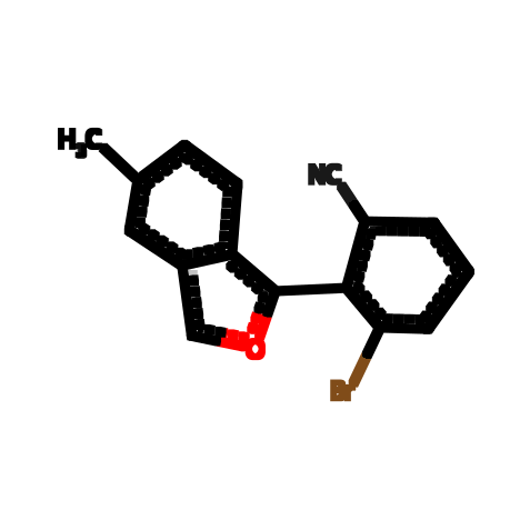 Cc1ccc2c(-c3c(Br)cccc3C#N)occ2c1